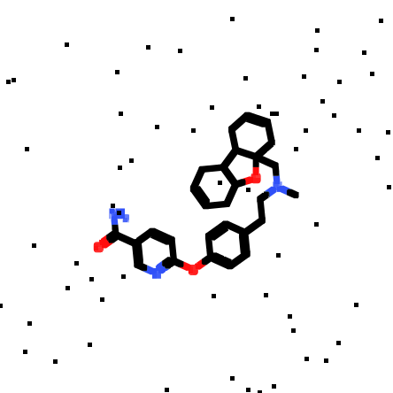 CN(CCc1ccc(Oc2ccc(C(N)=O)cn2)cc1)CC12CC=CCC1C1CC=CCC1O2